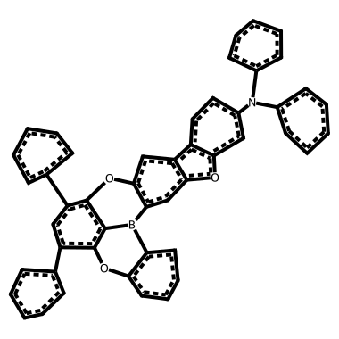 c1ccc(-c2cc(-c3ccccc3)c3c4c2Oc2ccccc2B4c2cc4oc5cc(N(c6ccccc6)c6ccccc6)ccc5c4cc2O3)cc1